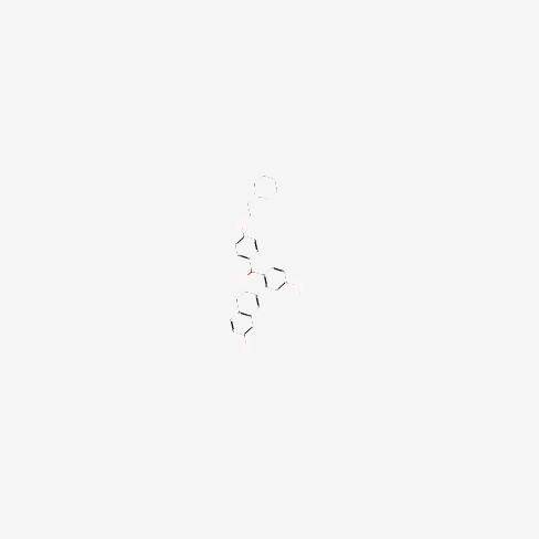 COc1ccc2c(c1)C=C(c1cc(OC)ccc1C(=O)c1ccc(OCCN3CCCCC3)cc1)CC2